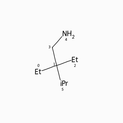 CCC(CC)(CN)C(C)C